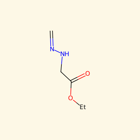 C=NNCC(=O)OCC